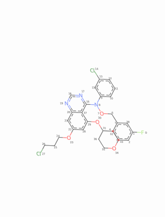 Fc1cccc(CON(c2cccc(Cl)c2)c2ncnc3cc(OCCCCl)cc(OC4CCOCC4)c23)c1